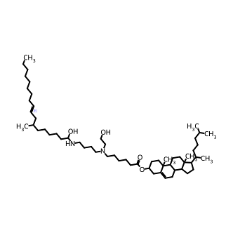 CCCCCCCC/C=C/CC(C)CCCCCC(O)NCCCCN(CCO)CCCCCC(=O)OC1CCC2(C)C(=CCC3C2CCC2(C)C(C(C)CCCC(C)C)CCC32)C1